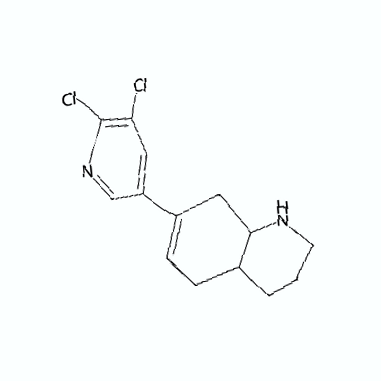 Clc1cc(C2=CCC3CCCNC3C2)cnc1Cl